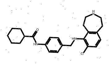 O=C(Nc1ccc(CNc2c(Cl)ccc3c2CCNCC3)cc1)C1CCCCC1